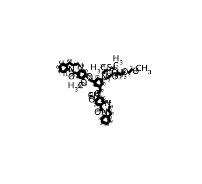 COCCOCCOCCN(CC(C)(C)SC(C)C)c1cc(COc2cc3c(cc2OC)C(=O)N2c4ccccc4CC2C=N3)cc(COc2cc3c(cc2OC)C(=O)N2c4ccccc4CC2C=N3)c1